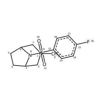 CN1CC2CCC(C1)N2S(=O)(=O)c1ccc(F)cc1